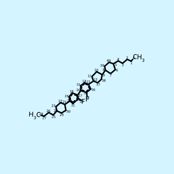 CCCCCC1CCC(C2CCC(c3ccc(-c4ccc(C5CCC(CCCC)CC5)cc4F)c(F)c3)CC2)CC1